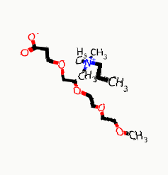 CCC[N+](C)(C)C.COCCOCCOCCOCCC(=O)[O-]